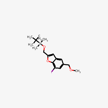 COCc1cc(I)c2oc(CO[Si](C)(C)C(C)(C)C)cc2c1